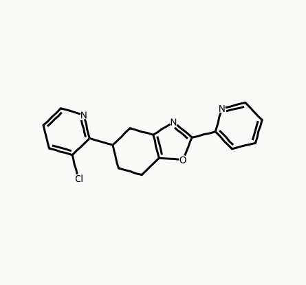 Clc1cccnc1C1CCc2oc(-c3ccccn3)nc2C1